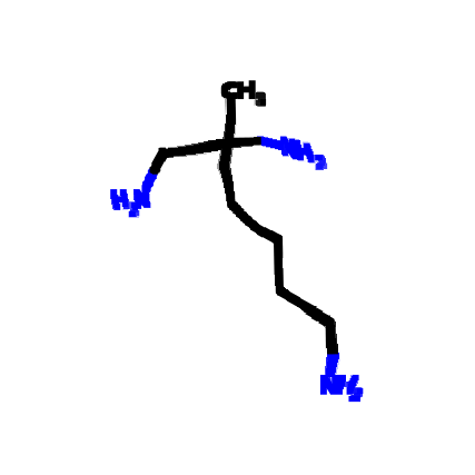 CC(N)(CN)CCCCN